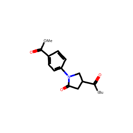 COC(=O)c1ccc(N2CC(C(=O)C(C)(C)C)CC2=O)cc1